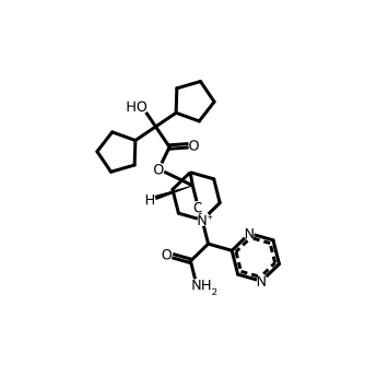 NC(=O)C(c1cnccn1)[N+]12CCC(CC1)[C@@H](OC(=O)C(O)(C1CCCC1)C1CCCC1)C2